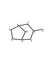 [CH2]C1CC2CCC(C1)C2